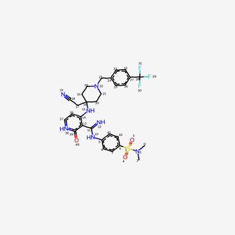 CN(C)S(=O)(=O)c1ccc(NC(=N)c2c(NC3(CC#N)CCN(Cc4ccc(C(F)(F)F)cc4)CC3)cc[nH]c2=O)cc1